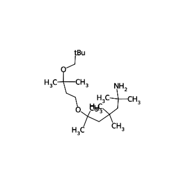 CC(C)(C)COC(C)(C)CCOC(C)(C)CC(C)(C)CC(C)(C)N